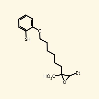 CCC1OC1(CCCCCCOc1ccccc1S)C(=O)O